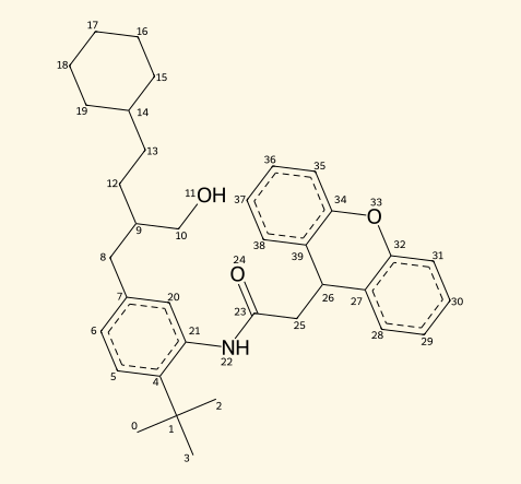 CC(C)(C)c1ccc(CC(CO)CCC2CCCCC2)cc1NC(=O)CC1c2ccccc2Oc2ccccc21